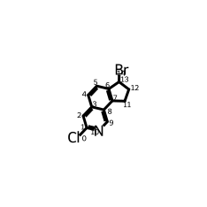 Clc1cc2ccc3c(c2cn1)CCC3Br